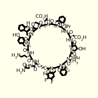 CCCC[C@H]1C(=O)N2C[C@@H](O)C[C@@H]2C(=O)N[C@@H](CC(=O)O)C(=O)N[C@@H](C(C)C)C(=O)N(C)[C@@H](Cc2ccccc2)C(=O)N[C@@H](CCC(=O)O)C(=O)N2CCOC[C@@H]2C(=O)N[C@@H](Cc2c[nH]c3ccccc23)C(=O)N[C@@H](Cc2ccc(O)cc2)C(=O)N[C@@H](CCCN)C(=O)N[C@H](C(=O)NCC(N)=O)CSCC(=O)N[C@@H](Cc2cc(F)c(F)c(F)c2)C(=O)N(C)[C@@H](Cc2ccccc2)C(=O)N1C